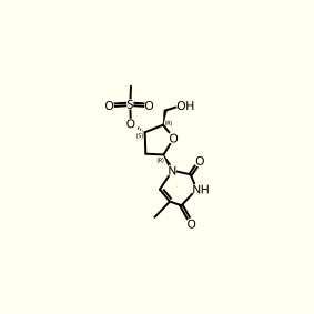 Cc1cn([C@H]2C[C@H](OS(C)(=O)=O)[C@@H](CO)O2)c(=O)[nH]c1=O